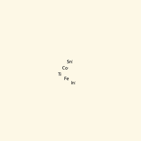 [Co].[Fe].[In].[Sn].[Ti]